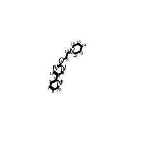 c1ccc(-c2cnc(OCCN3CCCCC3)nc2)nc1